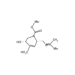 C[SiH](OC[C@@H]1C=C(C(=O)O)[C@H](O)CN1C(=O)OC(C)(C)C)C(C)(C)C